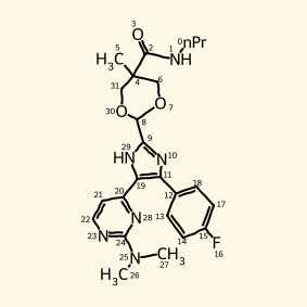 CCCNC(=O)C1(C)COC(c2nc(-c3ccc(F)cc3)c(-c3ccnc(N(C)C)n3)[nH]2)OC1